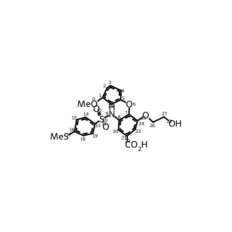 COc1cccc(Oc2c(NS(=O)(=O)c3ccc(SC)cc3)cc(C(=O)O)cc2OCCO)c1